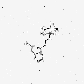 CC(C)(C)[Si](C)(C)OCCNc1ccccc1CCO